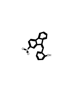 O=[N+]([O-])c1ccc2c(c1)/C(=C\c1ccccc1O)c1ccccc1-2